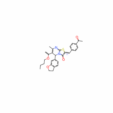 C=C(OCCCC)C1=C(C)N=c2s/c(=C\c3ccc(C(C)=O)cc3)c(=O)n2C1c1ccc2c(c1)OCC2